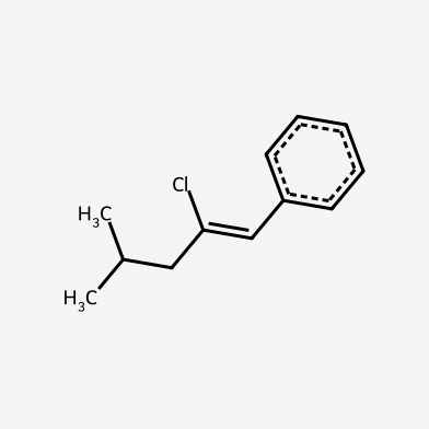 CC(C)CC(Cl)=Cc1ccccc1